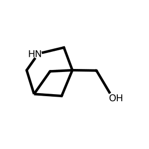 OCC12CNCC(C1)C2